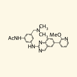 COc1ncccc1-c1ccc2nc(Nc3cc(CN(C)C)cc(NC(C)=O)c3)ncc2c1